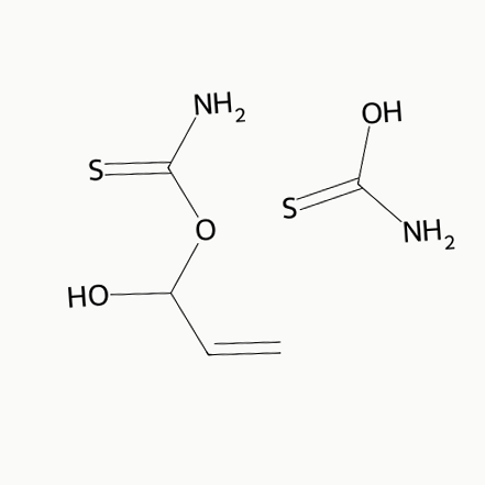 C=CC(O)OC(N)=S.NC(O)=S